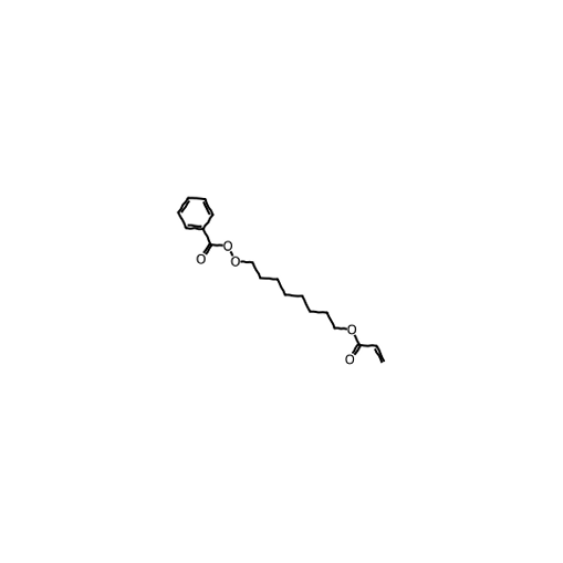 C=CC(=O)OCCCCCCCCOOC(=O)c1ccccc1